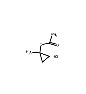 CC1(OC(N)=O)CC1.Cl